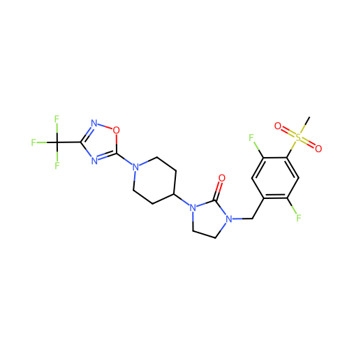 CS(=O)(=O)c1cc(F)c(CN2CCN(C3CCN(c4nc(C(F)(F)F)no4)CC3)C2=O)cc1F